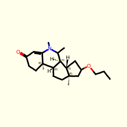 CCCOC1C[C@H]2[C@@H]3C(C)N(C)C4=CC(=O)CC[C@]4(C)[C@@H]3CC[C@]2(C)C1